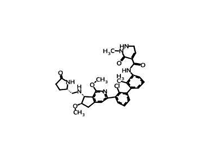 COc1nc(-c2cccc(-c3cccc(NC(=O)C4=CCNN(C)C4=O)c3C)c2Cl)cc2c1[C@@H](NC[C@@H]1CCC(=O)N1)[C@H](OC)C2